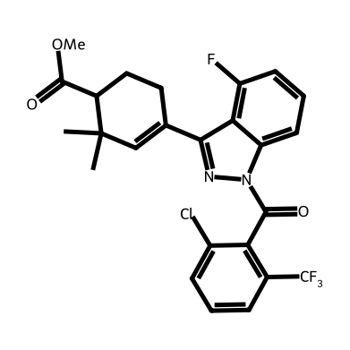 COC(=O)C1CCC(c2nn(C(=O)c3c(Cl)cccc3C(F)(F)F)c3cccc(F)c23)=CC1(C)C